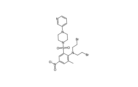 Cc1cc([N+](=O)[O-])cc(S(=O)(=O)N2CCN(c3cccnc3)CC2)c1N(CCBr)CCBr